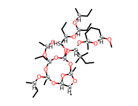 CC[SiH](C)O[SiH](CC)O[SiH](CC)[SiH]1O[SiH](C)O[Si]2(CC)O[Si](C)(O[SiH](C)CC)O[SiH]3O[Si](C)(O[SiH]3C)O[Si](O[SiH](O[Si]3(C)CCC[SiH](OC)O3)[Si](C)(C)CC)(O1)O2